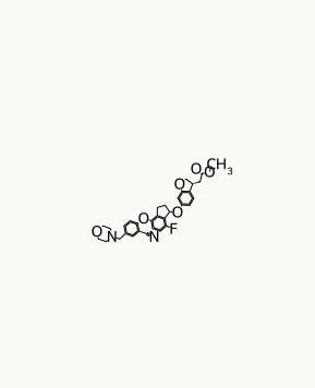 COC(=O)C[C@@H]1COc2cc(O[C@@H]3CCc4c(Oc5ccc(CN6CCOCC6)cc5C#N)ccc(F)c43)ccc21